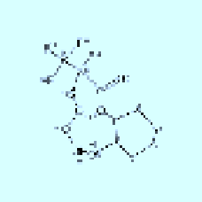 O=C(OC1CCCCC1O)C(F)(SOOO)C(F)(F)F